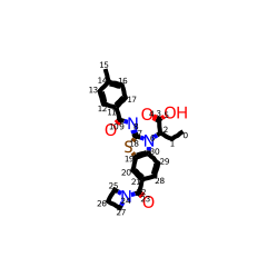 CCC(C(=O)O)n1c(=NC(=O)c2ccc(C)cc2)sc2cc(C(=O)N3CCC3)ccc21